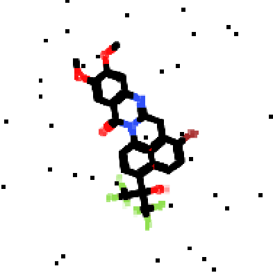 COc1cc2nc(Cc3ccccc3Br)n(-c3ccc(C(O)(C(F)(F)F)C(F)(F)F)cc3)c(=O)c2cc1OC